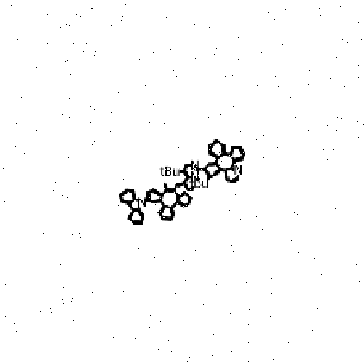 C=C/C(=C\C1=C(/C)c2ccc(-n3c4ccccc4c4ccccc43)cc2-c2ccccc2-c2ccccc21)c1nc(-c2cc3c(cc2C(C)(C)C)-c2cccnc2-c2ccccc2-c2ccccc2-3)ncc1C(C)(C)C